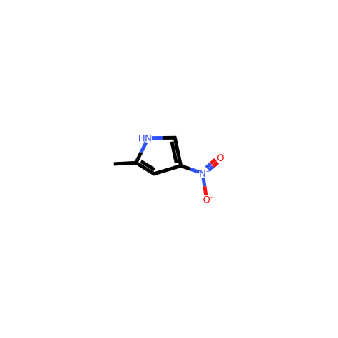 Cc1cc([N+](=O)[O-])c[nH]1